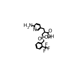 Nc1ccc(CC(CP(=O)(O)Cc2ccccc2C(F)(F)F)C(=O)O)cn1